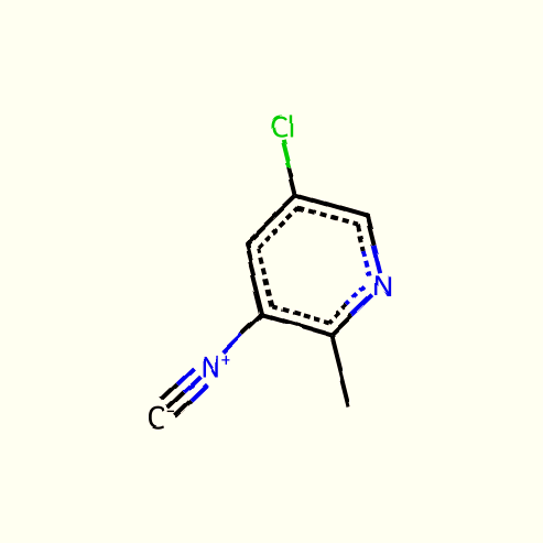 [C-]#[N+]c1cc(Cl)cnc1C